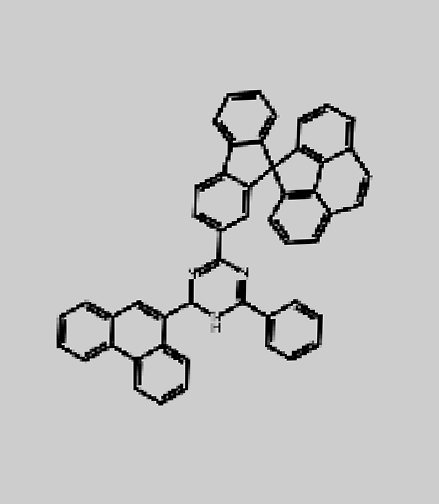 c1ccc(C2=NC(c3ccc4c(c3)C3(c5ccccc5-4)c4cccc5ccc6cccc3c6c45)=NC(c3cc4ccccc4c4ccccc34)N2)cc1